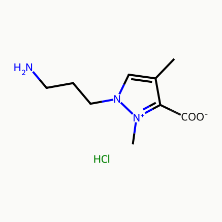 Cc1cn(CCCN)[n+](C)c1C(=O)[O-].Cl